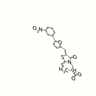 CC(CN1C(=O)C(=Cc2ccc(-c3cccc([N+](=O)[O-])c3)o2)SC1=S)[SH](=O)=O